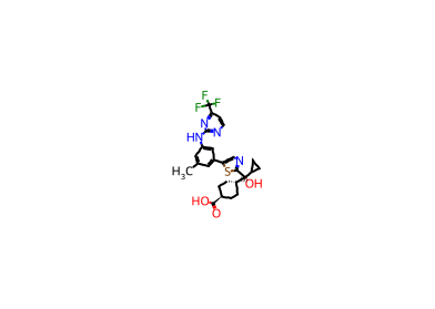 Cc1cc(Nc2nccc(C(F)(F)F)n2)cc(-c2cnc([C@](O)(C3CC3)[C@H]3CC[C@H](C(=O)O)CC3)s2)c1